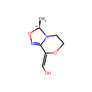 C[C@@H]1ON=C2/C(=C/O)OCCN21